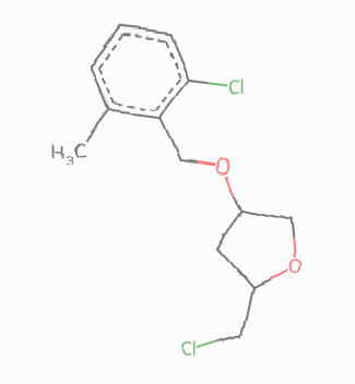 Cc1cccc(Cl)c1COC1COC(CCl)C1